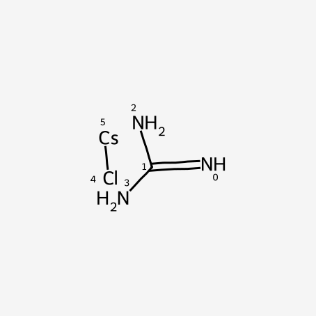 N=C(N)N.[Cl][Cs]